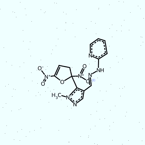 Cn1ncc(/C=N/Nc2ccccn2)c1C1([N+](=O)[O-])CC=C([N+](=O)[O-])O1